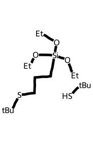 CC(C)(C)S.CCO[Si](CCCSC(C)(C)C)(OCC)OCC